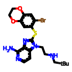 CC(C)(C)CNCCn1c(Sc2cc3c(cc2Br)OCCO3)nc2c(N)nccc21